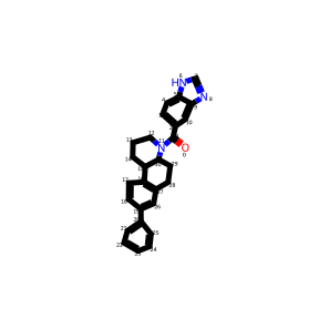 O=C(c1ccc2[nH]cnc2c1)N1CCCC2c3ccc(-c4ccccc4)cc3CCC21